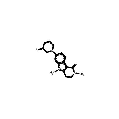 CN1CCc2c(c3ccc(N4CCCC([18F])C4)nc3n2C)C1=O